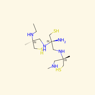 CCN[C@](C)(CS)CN[C@](N)(CS)CN[C@](C)(CS)CNC